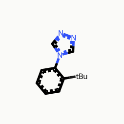 CC(C)(C)c1ccccc1-n1cnnc1